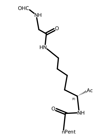 CCCCCC(=O)N[C@H](CCCCNC(=O)CNC=O)C(C)=O